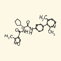 Cc1ccnc(C)c1-c1ccc(NC(=O)[C@@H](NC(=O)c2conc2C)C2CCCC2)cc1